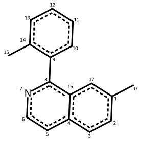 Cc1ccc2ccnc(-c3ccccc3C)c2c1